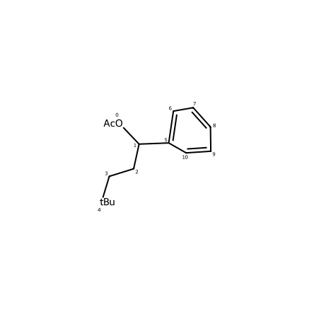 CC(=O)OC(CCC(C)(C)C)c1ccccc1